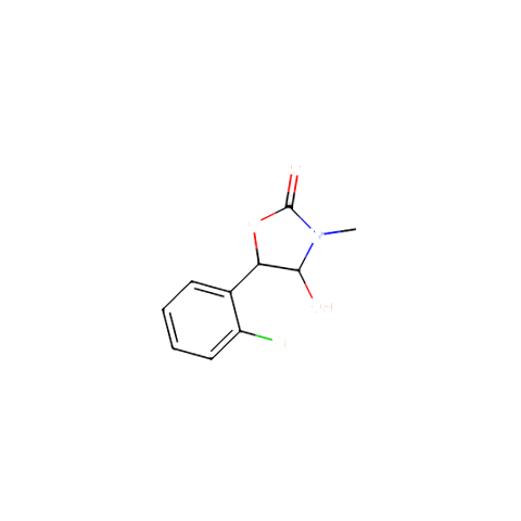 CN1C(=O)OC(c2ccccc2Cl)C1O